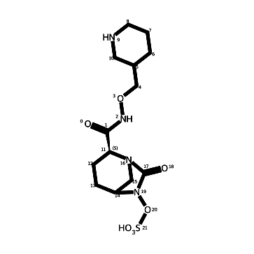 O=C(NOCC1CCCNC1)[C@@H]1CCC2CN1C(=O)N2OS(=O)(=O)O